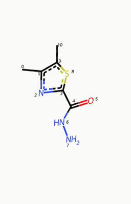 Cc1nc(C(=O)NN)sc1C